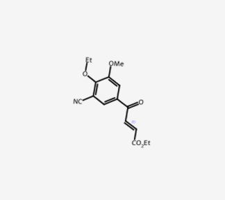 CCOC(=O)/C=C/C(=O)c1cc(C#N)c(OCC)c(OC)c1